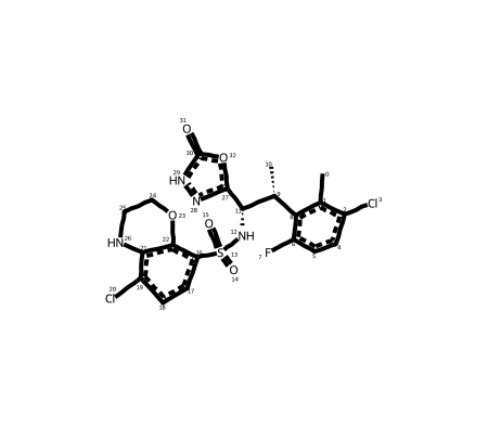 Cc1c(Cl)ccc(F)c1[C@@H](C)[C@H](NS(=O)(=O)c1ccc(Cl)c2c1OCCN2)c1n[nH]c(=O)o1